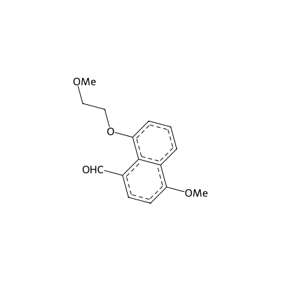 COCCOc1cccc2c(OC)ccc(C=O)c12